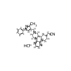 Cc1nn(-c2ccccc2)cc1CN1CCN(c2nccnc2N2CCC(CC#N)CC2)CC1.Cl